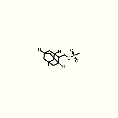 CS(=O)(=O)OCC1[C@H]2C[C@H]3C[C@H](C2)C[C@H]1C3